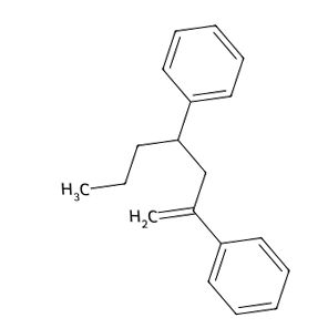 C=C(CC(CCC)c1ccccc1)c1ccccc1